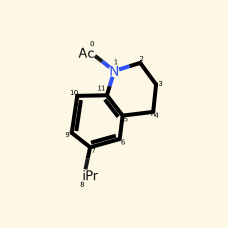 CC(=O)N1CC[C]c2cc(C(C)C)ccc21